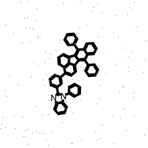 c1ccc(-c2c3c(c(-c4ccccc4)c4ccccc24)-c2ccc(-c4cccc(-c5nc6ccccc6n5-c5ccccc5)c4)c4cccc-3c24)cc1